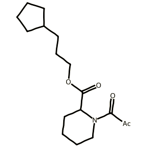 CC(=O)C(=O)N1CCCCC1C(=O)OCCCC1CCCC1